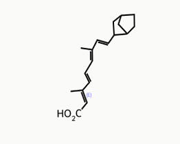 CC(C=CC1CC2CCC1C2)=CC=C/C(C)=C/C(=O)O